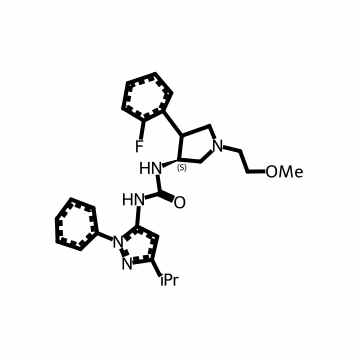 COCCN1CC(c2ccccc2F)[C@H](NC(=O)Nc2cc(C(C)C)nn2-c2ccccc2)C1